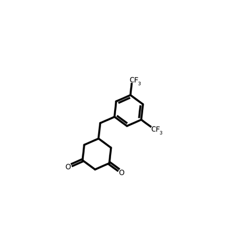 O=C1CC(=O)CC(Cc2cc(C(F)(F)F)cc(C(F)(F)F)c2)C1